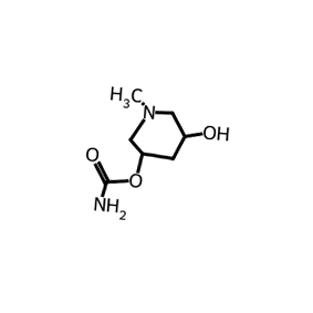 CN1CC(O)CC(OC(N)=O)C1